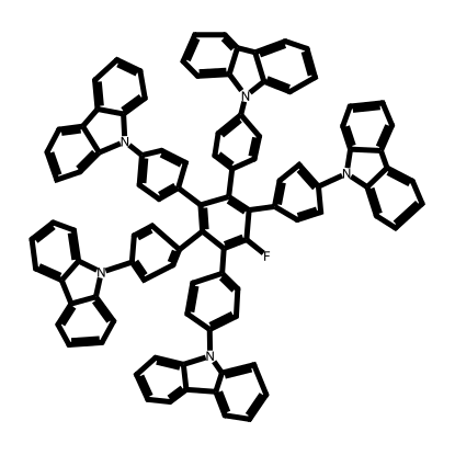 Fc1c(-c2ccc(-n3c4ccccc4c4ccccc43)cc2)c(-c2ccc(-n3c4ccccc4c4ccccc43)cc2)c(-c2ccc(-n3c4ccccc4c4ccccc43)cc2)c(-c2ccc(-n3c4ccccc4c4ccccc43)cc2)c1-c1ccc(-n2c3ccccc3c3ccccc32)cc1